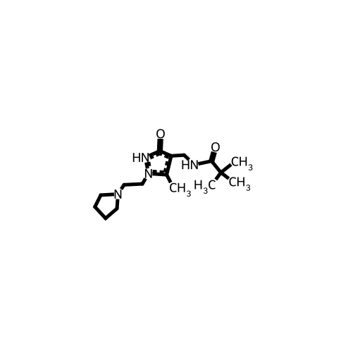 Cc1c(CNC(=O)C(C)(C)C)c(=O)[nH]n1CCN1CCCC1